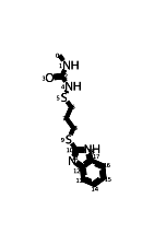 CNC(=O)NSCCCSc1nc2ccccc2[nH]1